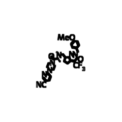 COc1ccc(Cn2nc3c(c(C(F)(F)F)c2=O)CCC3CN(C)[C@@H](C)C(=O)N2CCN(c3ccc(C#N)cn3)CC2)cc1